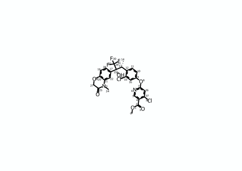 COC(=O)c1cnc(Oc2ccc([C@@H](C)[C@@](O)(c3ccc4c(c3)N(C)C(=O)CO4)C(F)(F)F)c(Cl)c2)cc1Cl